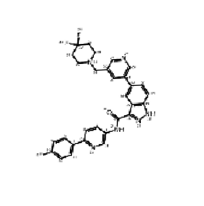 O=C(Nc1ccc(-c2ccc(F)cc2)nc1)c1n[nH]c2ccc(-c3cncc(CN4CCC(F)(F)CC4)c3)cc12